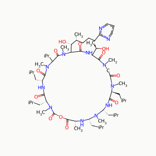 CC(C)C[C@@H]1C(=O)N[C@H](CC(C)C)C(=O)N(C)C(C(C)C)C(=O)N(C)C([C@H](O)[C@H](C)CCCc2ncccn2)C(=O)NC([C@@H](C)O)C(=O)N(C)CC(=O)N(C)[C@@H](CC(C)C)C(=O)N[C@H](CC(C)C)N(C)[C@H](CC(C)C)N[C@H](C)C(=O)OC(=O)N1C